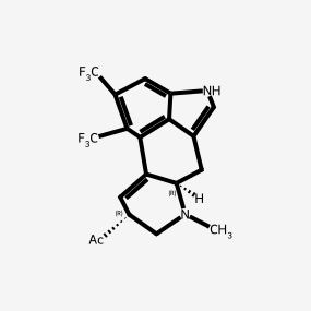 CC(=O)[C@@H]1C=C2c3c(C(F)(F)F)c(C(F)(F)F)cc4[nH]cc(c34)C[C@H]2N(C)C1